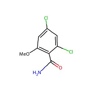 COc1cc(Cl)cc(Cl)c1C(N)=O